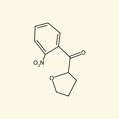 O=C(c1ccccc1[N+](=O)[O-])C1CCCO1